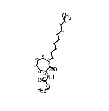 C=CCCCCCCCCN1CCCC[C@H](NC(=O)OC(C)(C)C)C1=O